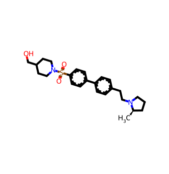 C[C@@H]1CCCN1CCc1ccc(-c2ccc(S(=O)(=O)N3CCC(CO)CC3)cc2)cc1